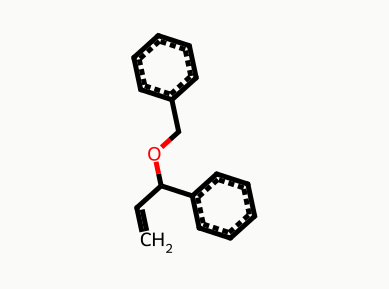 C=CC(OCc1ccccc1)c1ccccc1